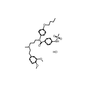 CCCCOc1ccc(N(CCCN(C)CCc2ccc(OC)c(OC)c2)C(=O)c2ccc(NS(C)(=O)=O)cc2)cc1.Cl